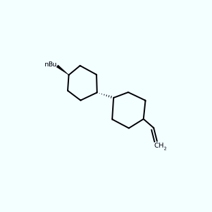 C=CC1CCC([C@H]2CC[C@H](CCCC)CC2)CC1